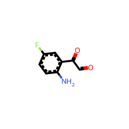 Nc1ccc(F)cc1C(=O)C=O